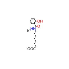 O=C([O-])CCCCCCCNC(=O)c1ccccc1O.[K+]